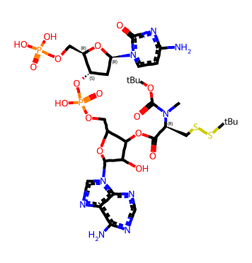 CN(C(=O)OC(C)(C)C)[C@@H](CSSC(C)(C)C)C(=O)OC1C(COP(=O)(O)O[C@H]2C[C@H](n3ccc(N)nc3=O)O[C@@H]2COP(=O)(O)O)OC(n2cnc3c(N)ncnc32)C1O